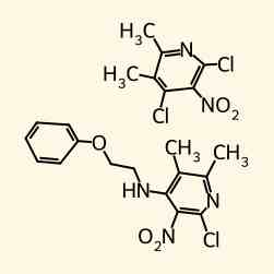 Cc1nc(Cl)c([N+](=O)[O-])c(Cl)c1C.Cc1nc(Cl)c([N+](=O)[O-])c(NCCOc2ccccc2)c1C